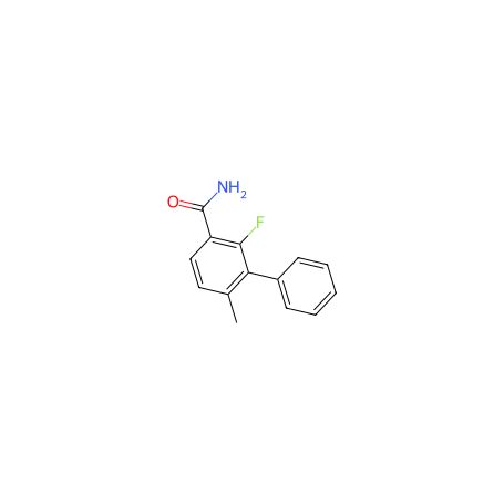 Cc1ccc(C(N)=O)c(F)c1-c1ccccc1